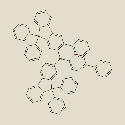 c1ccc(-c2ccc(N(c3ccc4c(c3)C(c3ccccc3)(c3ccccc3)c3ccccc3-4)c3cc4c(cc3-c3ccccc3)-c3ccccc3C4(c3ccccc3)c3ccccc3)cc2)cc1